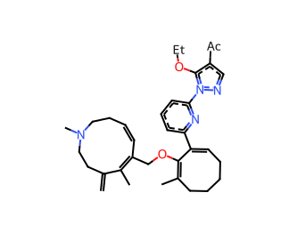 C=C1CCN(C)CC/C=C\C(COC2=C(\C)CCCC/C=C\2c2cccc(-n3ncc(C(C)=O)c3OCC)n2)=C/1C